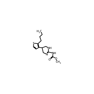 CCCCc1sccc1C1CN=C(NC(=O)OC)NC1